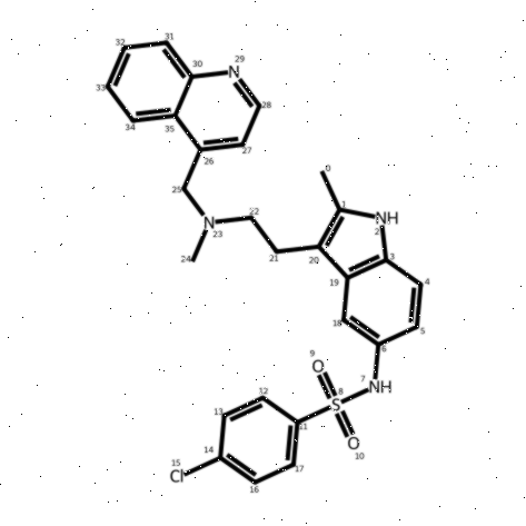 Cc1[nH]c2ccc(NS(=O)(=O)c3ccc(Cl)cc3)cc2c1CCN(C)Cc1ccnc2ccccc12